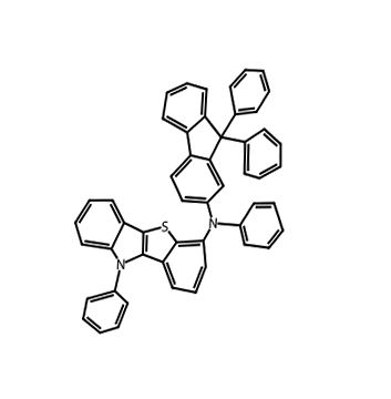 c1ccc(N(c2ccc3c(c2)C(c2ccccc2)(c2ccccc2)c2ccccc2-3)c2cccc3c2sc2c4ccccc4n(-c4ccccc4)c32)cc1